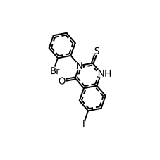 O=c1c2cc(I)ccc2[nH]c(=S)n1-c1ccccc1Br